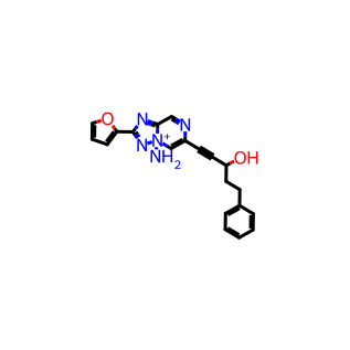 N[N+]12C=C(C#CC(O)CCc3ccccc3)N=CC1=NC(c1ccco1)=N2